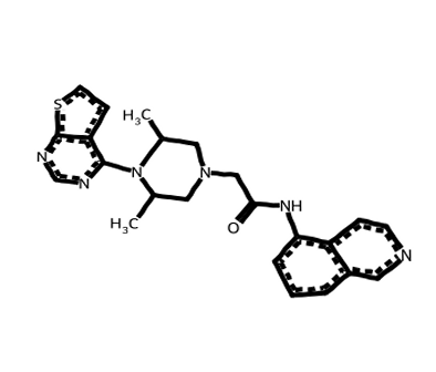 CC1CN(CC(=O)Nc2cccc3cnccc23)CC(C)N1c1ncnc2sccc12